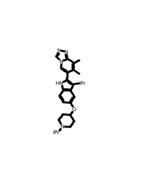 Cc1c(-c2[nH]c3ccc(OC4CCN(C(C)C)CC4)cc3c2C(C)C)cn2cnnc2c1C